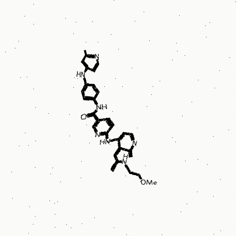 C=C(/C=c1/c(Nc2ccc(C(=O)Nc3ccc(Nc4ccnc(C)c4)cc3)cn2)ccnc1=C)NCCOC